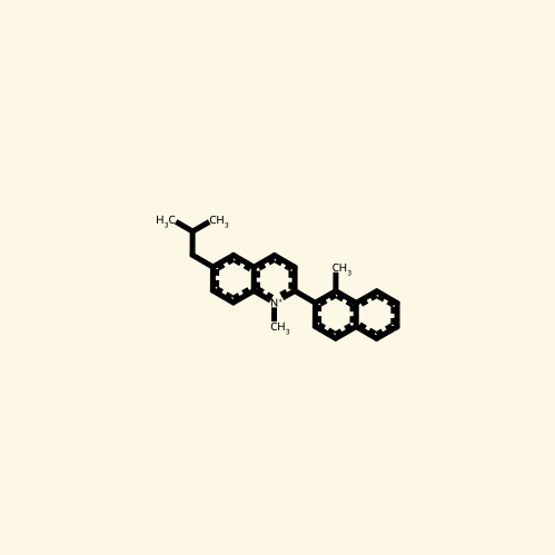 Cc1c(-c2ccc3cc(CC(C)C)ccc3[n+]2C)ccc2ccccc12